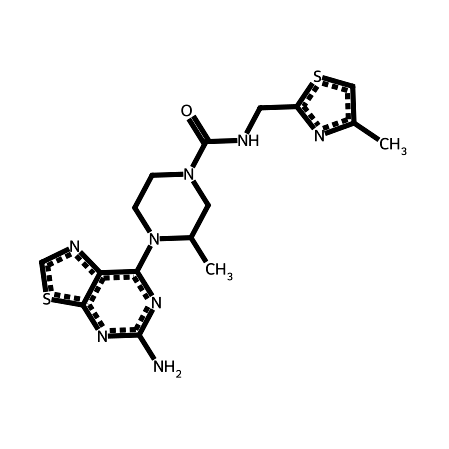 Cc1csc(CNC(=O)N2CCN(c3nc(N)nc4scnc34)C(C)C2)n1